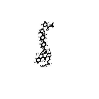 CNC(=O)CCC1SC[C@@H](c2ncc(-c3ccc(-c4ccc(-c5cnc([C@@H]6CCCN6C(=O)C6CC6)[nH]5)cc4)cc3)[nH]2)N1C(=O)C(c1ccccc1)N(C)C